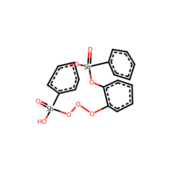 [O]=[Sb]([OH])([O]OOc1ccccc1[O][Sb](=[O])([OH])[c]1ccccc1)[c]1ccccc1